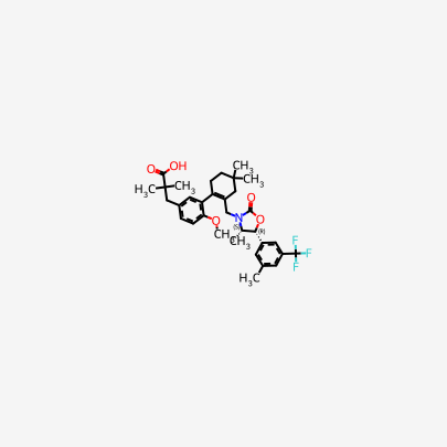 COc1ccc(CC(C)(C)C(=O)O)cc1C1=C(CN2C(=O)O[C@H](c3cc(C)cc(C(F)(F)F)c3)[C@@H]2C)CC(C)(C)CC1